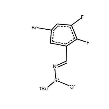 CC(C)(C)[S+]([O-])N=Cc1cc(Br)cc(F)c1F